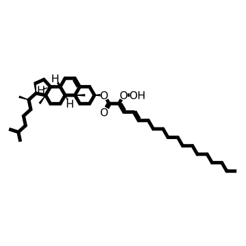 CCCCCCCCCCCCC/C=C/C=C(\OO)C(=O)O[C@H]1CC[C@@]2(C)C(=CC[C@H]3[C@@H]4CC[C@H]([C@H](C)CCCC(C)C)[C@@]4(C)CC[C@@H]32)C1